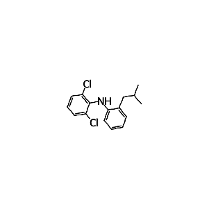 CC(C)Cc1ccccc1Nc1c(Cl)cccc1Cl